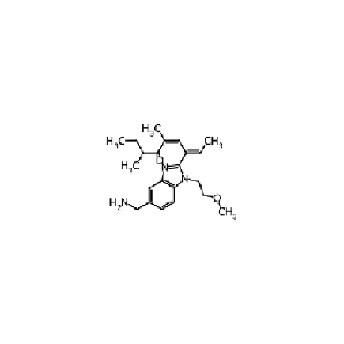 C/C=C(\C=C(\C)C(=O)C(C)CC)c1nc2cc(CN)ccc2n1CCOC